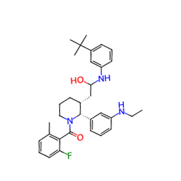 CCNc1cccc([C@H]2[C@@H](CC(O)Nc3cccc(C(C)(C)C)c3)CCCN2C(=O)c2c(C)cccc2F)c1